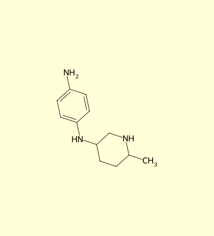 CC1CCC(Nc2ccc(N)cc2)CN1